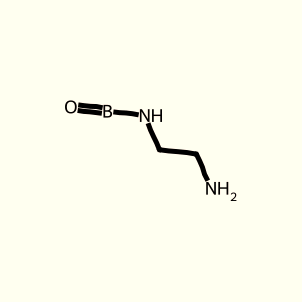 NCCNB=O